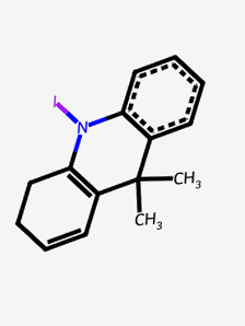 CC1(C)C2=C(CCC=C2)N(I)c2ccccc21